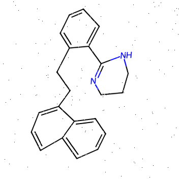 c1ccc(C2=NCCCN2)c(CCc2cccc3ccccc23)c1